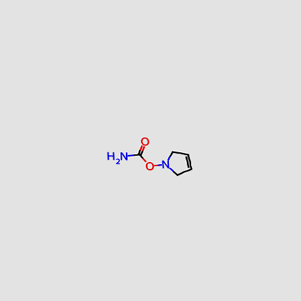 NC(=O)ON1CC=CC1